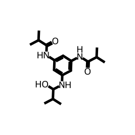 CC(C)C(=O)Nc1cc(NC(=O)C(C)C)cc(NC(O)C(C)C)c1